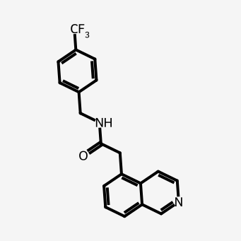 O=C(Cc1cccc2cnccc12)NCc1ccc(C(F)(F)F)cc1